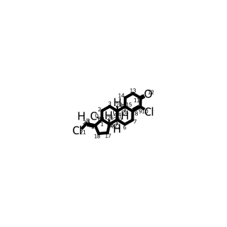 C[C@]12CC[C@H]3[C@@H](CCC4=C(Cl)C(=O)CC[C@@H]43)[C@@H]1CCC2=CCl